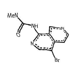 CNC(=O)Nc1ncc(Br)c2ccncc12